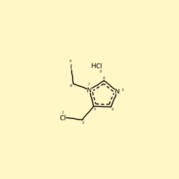 Cl.ClCc1cncn1CI